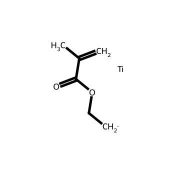 [CH2]COC(=O)C(=C)C.[Ti]